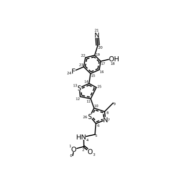 COC(=O)NCc1nc(C)c(-c2csc(-c3cc(O)c(C#N)cc3F)c2)s1